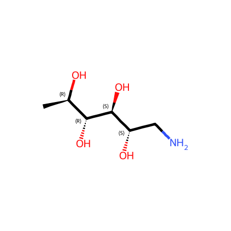 C[C@@H](O)[C@@H](O)[C@@H](O)[C@@H](O)CN